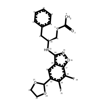 CC(=O)SC[C@H](Cc1ccccc1)Nc1noc2c(F)c(F)c(C3OCCO3)cc12